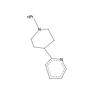 CCCN1CCC(c2ccccn2)CC1